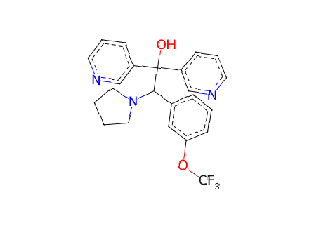 OC(c1cccnc1)(c1cccnc1)C(c1cccc(OC(F)(F)F)c1)N1CCCC1